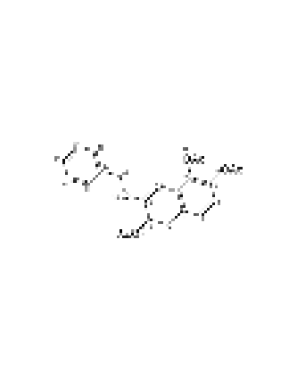 CC(=O)Oc1ccc(C[C@@H](OC(C)=O)C(=O)OCc2ccccc2)cc1OC(C)=O